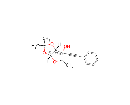 [CH2]C1O[C@@H]2OC(C)(C)O[C@@H]2[C@@]1(O)C#Cc1ccccc1